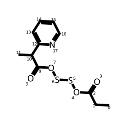 CCC(=O)OSSOC(=O)C(C)c1ccccn1